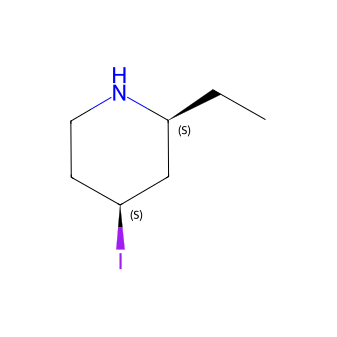 CC[C@H]1C[C@@H](I)CCN1